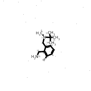 CN(Cc1cccc(F)c1CN)C(C)(C)C